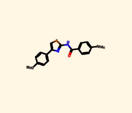 COc1ccc(-c2csc(NC(=O)c3ccc(NC(C)=O)cc3)n2)cc1